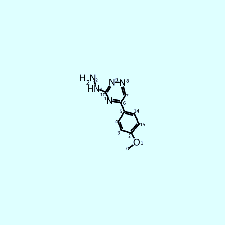 COc1ccc(-c2cnnc(NN)n2)cc1